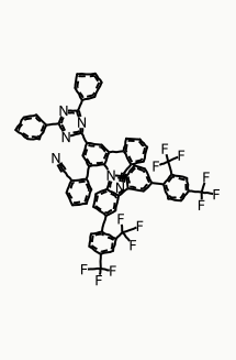 N#Cc1ccccc1-c1cc(-c2nc(-c3ccccc3)nc(-c3ccccc3)n2)cc(-c2ccccc2C#N)c1-n1c2ccc(-c3ccc(C(F)(F)F)cc3C(F)(F)F)cc2c2cc(-c3ccc(C(F)(F)F)cc3C(F)(F)F)ccc21